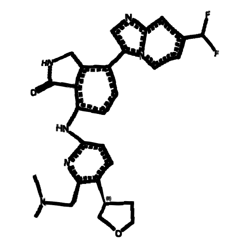 CN(C)Cc1nc(Nc2ccc(-c3cnc4cc(C(F)F)ccn34)c3c2C(=O)NC3)ccc1[C@H]1CCOC1